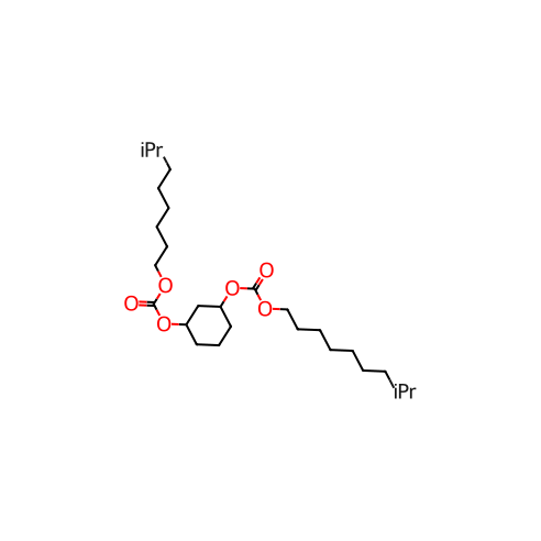 CC(C)CCCCCCCOC(=O)OC1CCCC(OC(=O)OCCCCCCC(C)C)C1